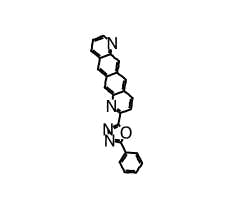 c1ccc(-c2nnc(-c3ccc4cc5cc6ncccc6cc5cc4n3)o2)cc1